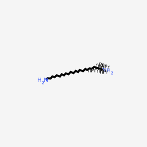 CCCC(N)(CCC)C(CCC)(CCC)C(CCC)(CCC)CCCCCCCCCCCCCCCCCCCCCN